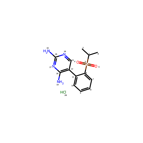 CC(C)S(=O)(=O)c1ccccc1-c1cnc(N)nc1N.Cl